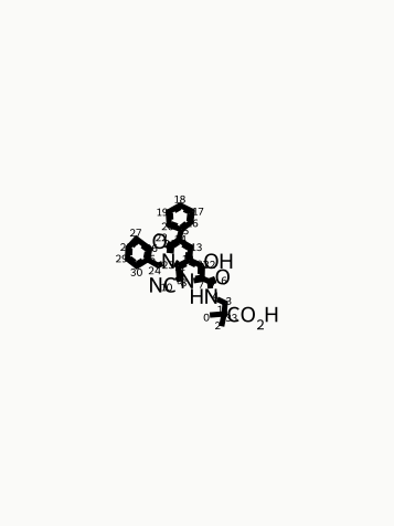 CC(C)(CNC(=O)c1nc(C#N)c2c(cc(-c3ccccc3)c(=O)n2Cc2ccccc2)c1O)C(=O)O